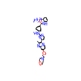 Cc1nc2cc(OCCN3CCOCC3)ccn2c1-c1ccnc(Nc2ccc(C(=O)Nc3ccccc3N)cc2)n1